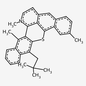 Cc1ccc2cc3cc[n+](C)c4c3c(c2c1)Sc1c-4c(C)c2ccccc2c1CC(C)(C)C